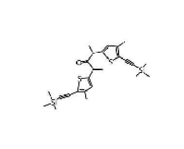 Cc1cc(C(C)C(=O)C(C)c2cc(C)c(C#C[Si](C)(C)C)s2)sc1C#C[Si](C)(C)C